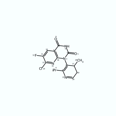 CC(C)C1=C(n2c(=O)[nH]c(=O)c3cc(F)c(Cl)nc32)C(C)CC=N1